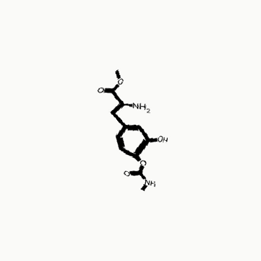 CNC(=O)Oc1ccc(C[C@H](N)C(=O)OC)cc1O